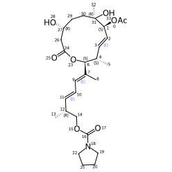 CC(=O)O[C@H]1/C=C/[C@H](C)[C@@H](/C(C)=C/C=C/[C@@H](C)COC(=O)N2CCCC2)OC(=O)C[C@H](O)CC[C@@]1(C)O